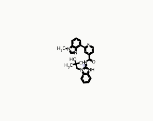 Cn1cnc2c(-c3cc(C(=O)/N=c4\[nH]c5ccccc5n4CC(C)(C)O)ccn3)cccc21